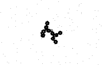 C1=C2Sc3ccccc3C2CC(n2c3ccc(Oc4ccc5c(c4)c4cc(-c6ccccc6)ccc4n5-c4cccc(-c5ccccc5)c4)cc3c3cc(-c4ccccc4)ccc32)=C1